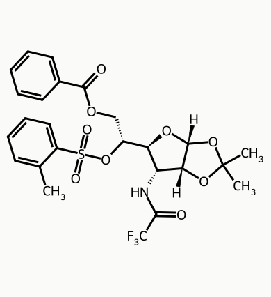 Cc1ccccc1S(=O)(=O)O[C@H](COC(=O)c1ccccc1)[C@H]1O[C@@H]2OC(C)(C)O[C@@H]2[C@@H]1NC(=O)C(F)(F)F